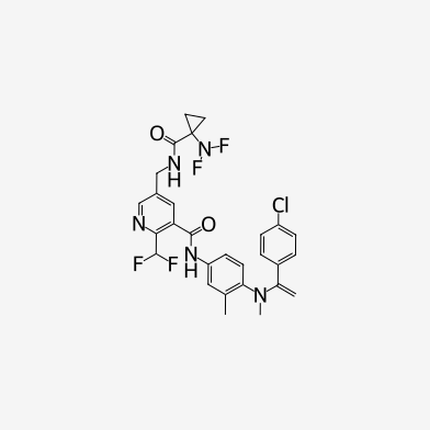 C=C(c1ccc(Cl)cc1)N(C)c1ccc(NC(=O)c2cc(CNC(=O)C3(N(F)F)CC3)cnc2C(F)F)cc1C